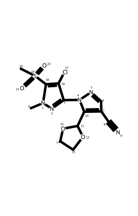 Cn1nc(-n2ncc(C#N)c2C2OCCO2)c(Cl)c1S(C)(=O)=O